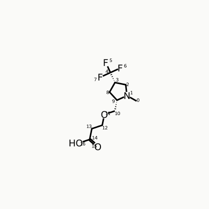 CN1C[C@@H](C(F)(F)F)C[C@H]1COCCC(=O)O